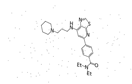 CCN(CC)C(=O)c1ccc(-c2cc(NCCCN3CCCCC3)c3ncsc3n2)cc1